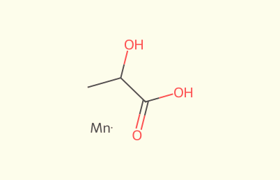 CC(O)C(=O)O.[Mn]